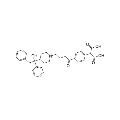 O=C(CCCN1CCC(C(O)(Cc2ccccc2)c2ccccc2)CC1)c1ccc(C(C(=O)O)C(=O)O)cc1